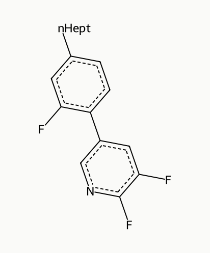 CCCCCCCc1ccc(-c2cnc(F)c(F)c2)c(F)c1